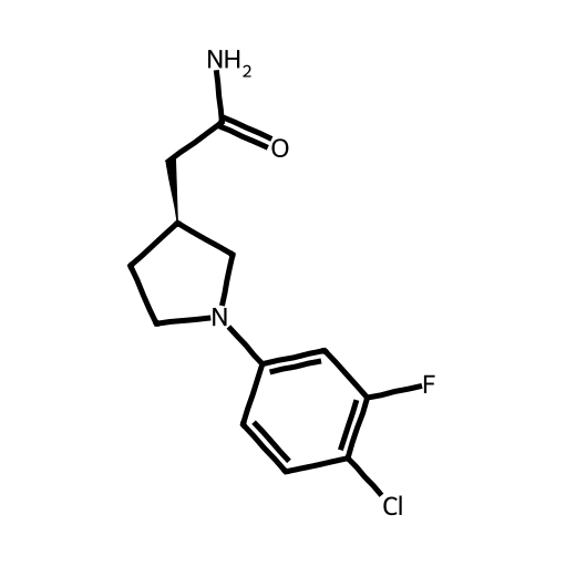 NC(=O)C[C@@H]1CCN(c2ccc(Cl)c(F)c2)C1